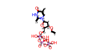 C=CO[C@@H]1C[C@H](N2C=C(C)C(=O)NC2=C)O[C@@H]1COP(=O)(O)OP(=O)(O)OP(=O)(O)O